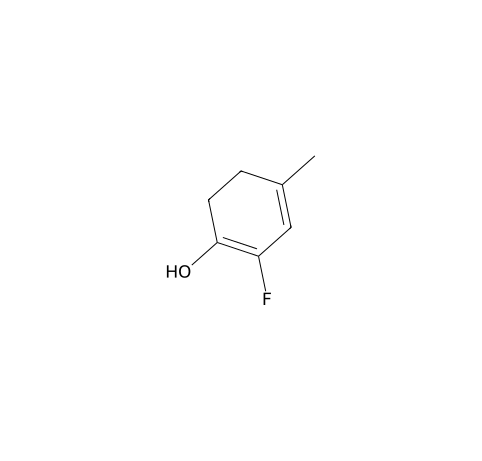 CC1=CC(F)=C(O)CC1